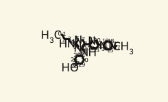 CCCCNc1ncc(-c2ccc(N3CCN(C)CC3)cn2)c(N[C@H]2CC[C@H](O)CC2)n1